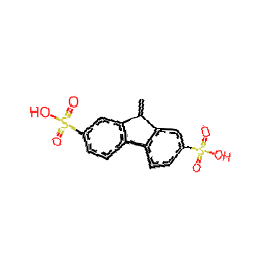 C=C1c2cc(S(=O)(=O)O)ccc2-c2ccc(S(=O)(=O)O)cc21